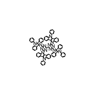 c1ccc(-n2c3ccccc3c3c2c2ccccc2n3-c2nc(-c3nc(-n4c5ccccc5c5c4c4ccccc4n5-c4ccccc4)nc(-n4c5ccccc5c5c4c4ccccc4n5-c4ccccc4)n3)nc(-n3c4ccccc4c4c3c3ccccc3n4-c3ccccc3)n2)cc1